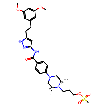 COc1cc(CCc2cc(NC(=O)c3ccc(N4C[C@@H](C)N(CCCOS(C)(=O)=O)[C@@H](C)C4)cc3)n[nH]2)cc(OC)c1